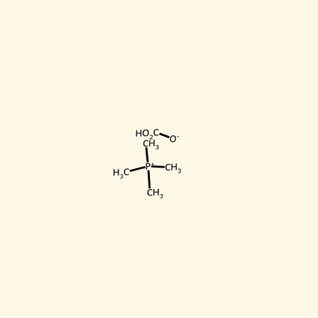 C[P+](C)(C)C.O=C([O-])O